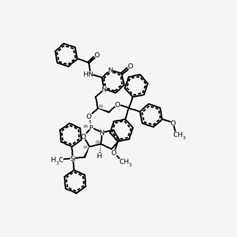 COc1ccc(C(OC[C@H](Cn2ccc(=O)nc2NC(=O)c2ccccc2)O[P@@]2O[C@H](C[Si](C)(c3ccccc3)c3ccccc3)[C@@H]3CCCN32)(c2ccccc2)c2ccc(OC)cc2)cc1